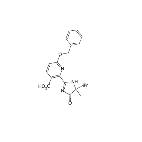 CC(C)C1(C)NC(c2nc(OCc3ccccc3)ccc2C(=O)O)=NC1=O